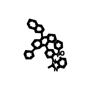 Cc1nc2cccc3c2n1-c1ccc(-c2c4ccccc4c(-c4ccc5ccccc5c4)c4ccc(-c5ccccc5)cc24)cc1P3(=O)c1ccccc1